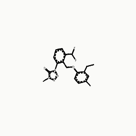 CCc1cc(C)ccc1OCc1c(C(F)F)cccc1-n1nnn(C)c1=O